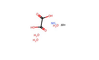 N.O.O.O.O=C(O)C(=O)O.[Mn]